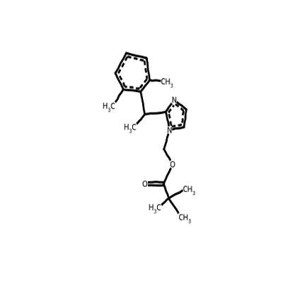 Cc1cccc(C)c1C(C)c1nccn1COC(=O)C(C)(C)C